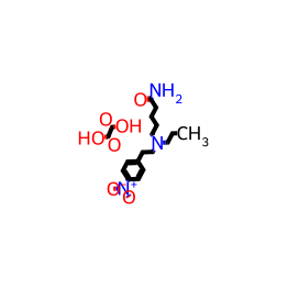 CCCN(CCCCC(N)=O)CCc1ccc([N+](=O)[O-])cc1.O=C(O)C(=O)O